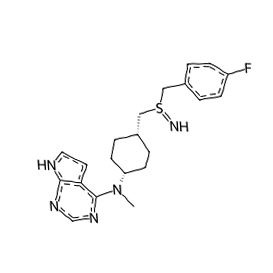 CN(c1ncnc2[nH]ccc12)[C@H]1CC[C@@H](CS(=N)Cc2ccc(F)cc2)CC1